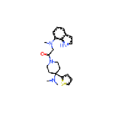 CN(CC(=O)N1CCC(c2cccs2)(N(C)C)CC1)c1cccc2cc[nH]c12